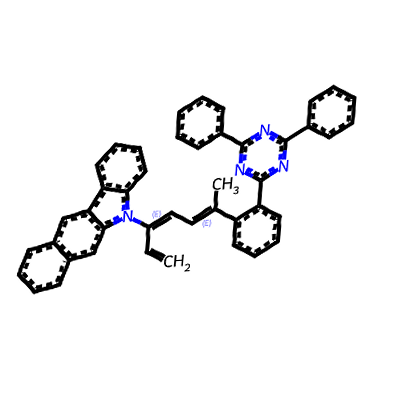 C=C/C(=C\C=C(/C)c1ccccc1-c1nc(-c2ccccc2)nc(-c2ccccc2)n1)n1c2ccccc2c2cc3ccccc3cc21